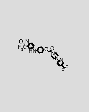 O=C(CO[C@H]1CC[C@H](Nc2ccc([N+](=O)[O-])c(C(F)(F)F)c2)CC1)N1CCN(c2ccc(C(F)F)cn2)CC1